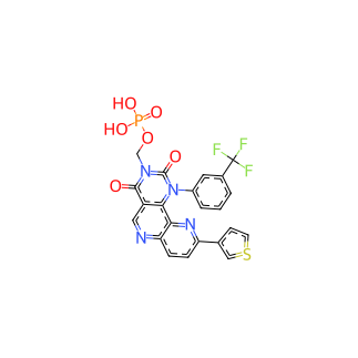 O=c1c2cnc3ccc(-c4ccsc4)nc3c2n(-c2cccc(C(F)(F)F)c2)c(=O)n1COP(=O)(O)O